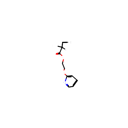 CCC(C)(C)C(=O)OCCOc1ccccn1